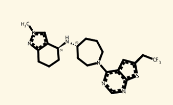 Cn1cc2c(n1)CCC[C@@H]2N[C@@H]1CCCN(c2ncnc3sc(CC(F)(F)F)cc23)CC1